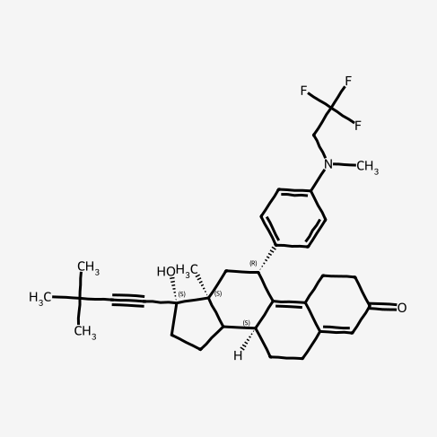 CN(CC(F)(F)F)c1ccc([C@H]2C[C@@]3(C)C(CC[C@@]3(O)C#CC(C)(C)C)[C@@H]3CCC4=CC(=O)CCC4=C32)cc1